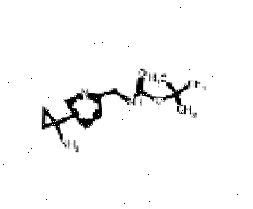 CC(C)(C)OC(=O)NCc1ccc(C2(N)CC2)cn1